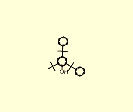 CC(C)(C)c1cc(C(C)(C)c2ccccc2)cc(C(C)(C)c2ccccc2)c1O